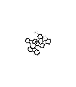 N#Cc1ccc(-n2c3ccccc3c3cccc(C#N)c32)c(-c2ccc(-n3c4ccccc4c4cccc(-n5c6ccccc6c6ccccc65)c43)cc2)c1